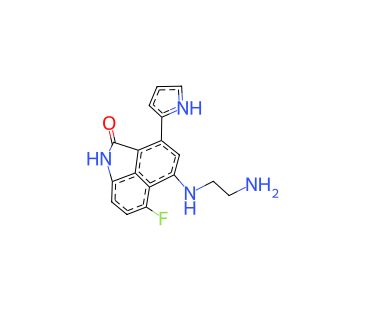 NCCNc1cc(-c2ccc[nH]2)c2c3c(ccc(F)c13)NC2=O